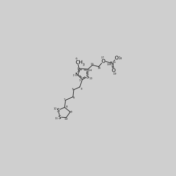 Cc1nc(CCCCC2CCSS2)sc1CCO[N+](=O)[O-]